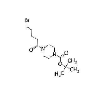 CC(C)(C)OC(=O)N1CCN(C(=O)CCCCBr)CC1